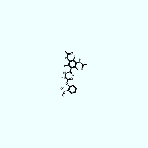 CC(=O)Nc1c(I)c(NC(C)=O)c(I)c(C(=O)N[C@@H](C)C(=O)Oc2ccccc2[N+](=O)[O-])c1I